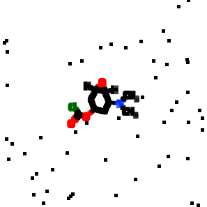 CN(C)[C@@H]1C[C@@H](OC(=O)Cl)C[C@@H]2O[C@@H]21